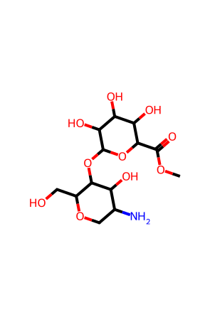 COC(=O)C1OC(OC2C(CO)OCC(N)C2O)C(O)C(O)C1O